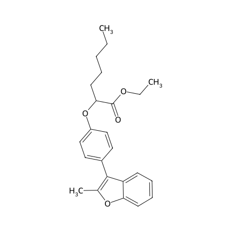 CCCCCC(Oc1ccc(-c2c(C)oc3ccccc23)cc1)C(=O)OCC